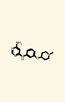 CN1CCC(Oc2cccc(Nc3cc(N)ncn3)c2)CC1